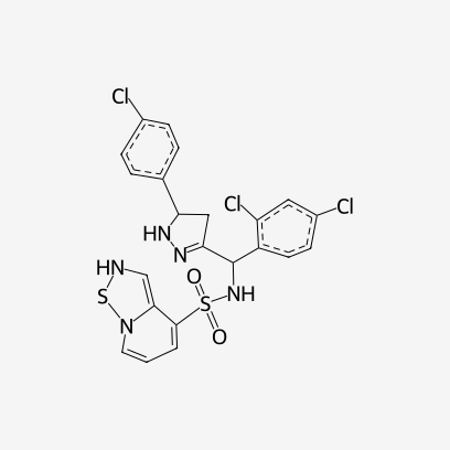 O=S(=O)(NC(C1=NNC(c2ccc(Cl)cc2)C1)c1ccc(Cl)cc1Cl)C1=CC=CN2SNC=C12